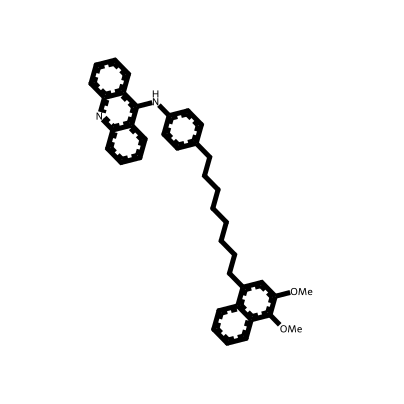 COc1cc(CCCCCCCCc2ccc(Nc3c4ccccc4nc4ccccc34)cc2)c2ccccc2c1OC